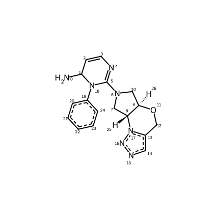 NC1C=CN=C(N2C[C@@H]3[C@@H](C2)OCc2cnnn23)N1c1ccccc1